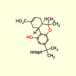 CCCCCCCC(C)(C)c1cc(O)c2c(c1)OC(C)(C)[C@@H]1CC=C(C(=O)O)C[C@@H]21